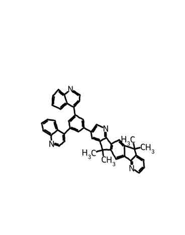 CC1(C)c2cc3c(cc2-c2ncccc21)C(C)(C)c1cc(-c2cc(-c4ccnc5ccccc45)cc(-c4ccnc5ccccc45)c2)cnc1-3